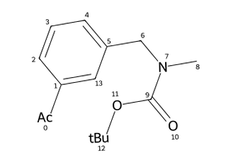 CC(=O)c1cccc(CN(C)C(=O)OC(C)(C)C)c1